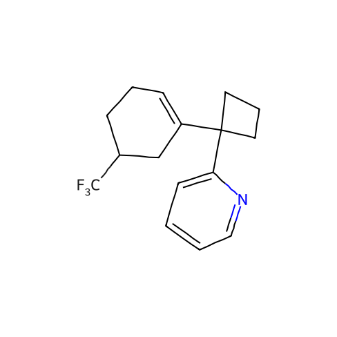 FC(F)(F)C1CCC=C(C2(c3ccccn3)CCC2)C1